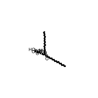 CCCCCCCCCCCCCCCC(=O)OC[C@H](CSC[C@H](N)C(=O)N[C@H](C=O)CO)OC(=O)CCCCCCCCCCCCCCC